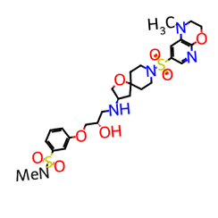 CNS(=O)(=O)c1cccc(OC[C@@H](O)CN[C@H]2COC3(CCN(S(=O)(=O)c4cnc5c(c4)N(C)CCO5)CC3)C2)c1